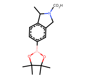 CC1c2ccc(B3OC(C)(C)C(C)(C)O3)cc2CN1C(=O)O